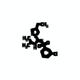 CCC1C=NN(/C(=N/S(=O)(=O)c2cccc(Cl)c2)NC(C)C)C1